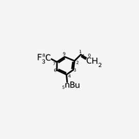 C=[C]c1cc(CCCC)cc(C(F)(F)F)c1